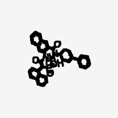 CN(C(=O)c1cc2ccccc2cc1NC(=O)C(c1cccc2ccccc12)[PH](=O)O)C1CC=C(c2ccccc2)CC1